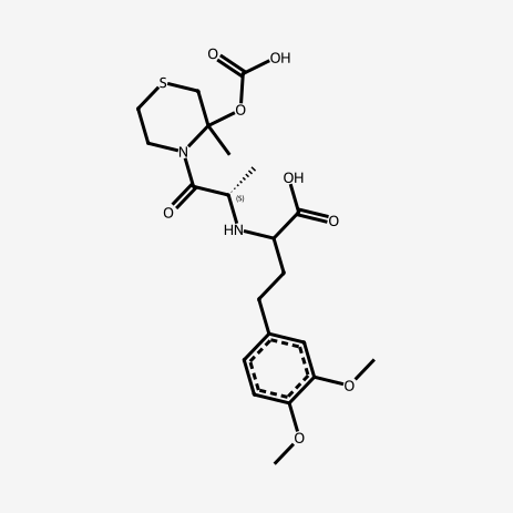 COc1ccc(CCC(N[C@@H](C)C(=O)N2CCSCC2(C)OC(=O)O)C(=O)O)cc1OC